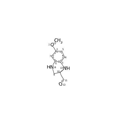 COc1ccc2c(c1)NCC(C=O)N2